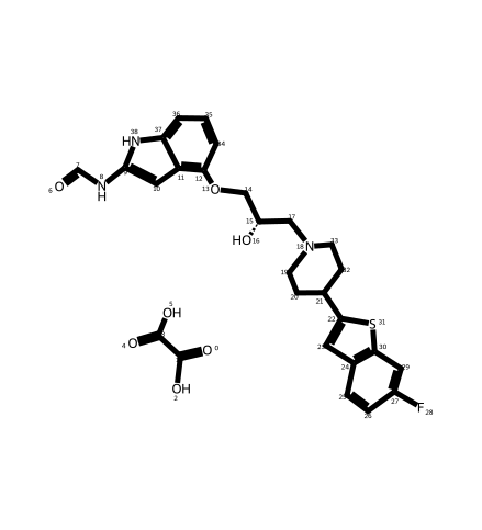 O=C(O)C(=O)O.O=CNc1cc2c(OC[C@@H](O)CN3CCC(c4cc5ccc(F)cc5s4)CC3)cccc2[nH]1